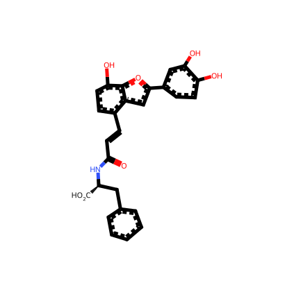 O=C(/C=C/c1ccc(O)c2oc(-c3ccc(O)c(O)c3)cc12)N[C@@H](Cc1ccccc1)C(=O)O